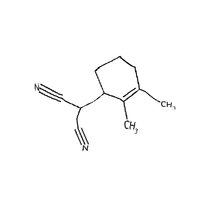 CC1=C(C)C(C(C#N)C#N)CCC1